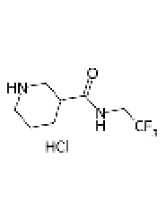 Cl.O=C(NCC(F)(F)F)C1CCCNC1